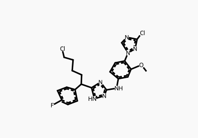 COc1cc(Nc2n[nH]c(C(CCCCCl)c3ccc(F)cc3)n2)ccc1-n1cnc(Cl)n1